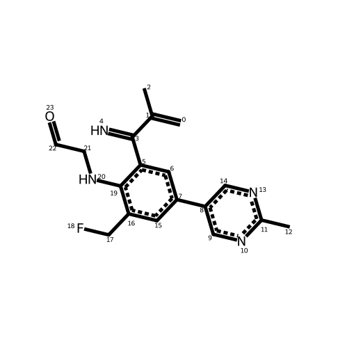 C=C(C)C(=N)c1cc(-c2cnc(C)nc2)cc(CF)c1NCC=O